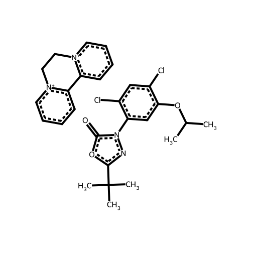 CC(C)Oc1cc(-n2nc(C(C)(C)C)oc2=O)c(Cl)cc1Cl.c1cc[n+]2c(c1)-c1cccc[n+]1CC2